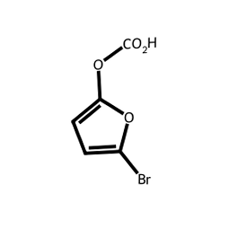 O=C(O)Oc1ccc(Br)o1